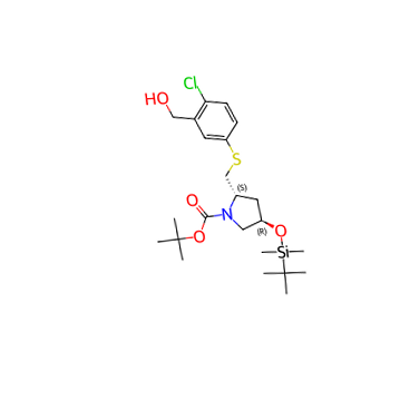 CC(C)(C)OC(=O)N1C[C@H](O[Si](C)(C)C(C)(C)C)C[C@H]1CSc1ccc(Cl)c(CO)c1